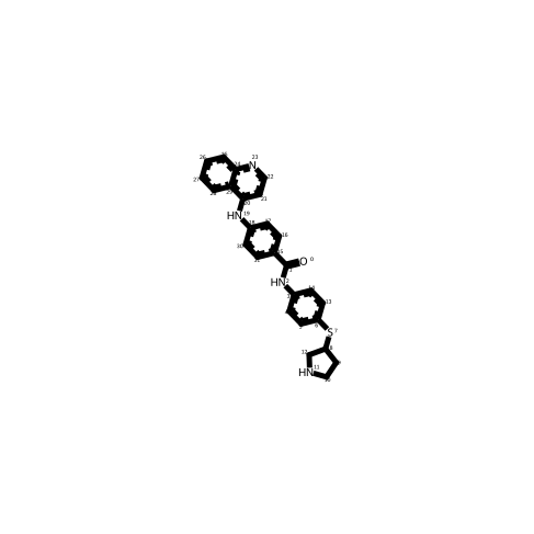 O=C(Nc1ccc(SC2CCNC2)cc1)c1ccc(Nc2ccnc3ccccc23)cc1